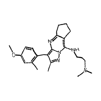 COc1ccc(-c2c(C)nn3c(NCCN(C)C)c4c(nc23)CCC4)c(C)c1